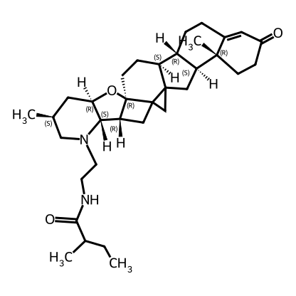 CCC(C)C(=O)NCCN1C[C@@H](C)C[C@H]2O[C@@]34CC[C@H]5[C@@H]6CCC7=CC(=O)CC[C@]7(C)[C@H]6CC56CC63C[C@@H]4[C@@H]21